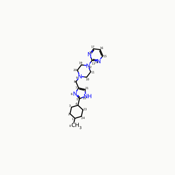 CC1CCC(c2nc(CN3CCN(c4ncccn4)CC3)c[nH]2)CC1